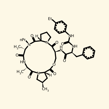 CCCN1C(=O)[C@@H]2CCCN2C(=O)[C@@H](NC(=O)[C@H](Cc2ccccc2)NC(=O)Nc2ccc(CC)cc2)COC(=O)[C@@H]2C[C@@H](C)CN2C(=O)[C@H](C)NC(=O)[C@@H]1C